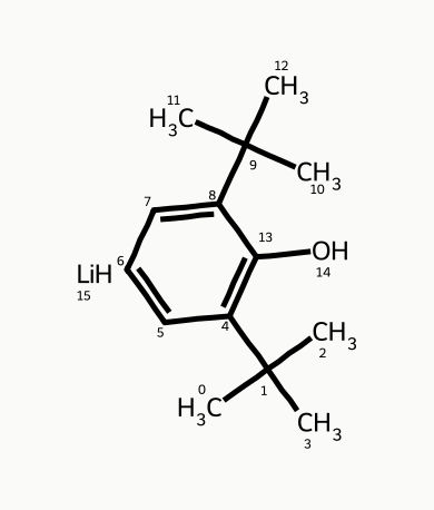 CC(C)(C)c1cccc(C(C)(C)C)c1O.[LiH]